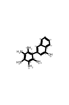 Bc1c(B)c(B)c(-c2cc(O)c3ccccc3c2)c(B)c1B